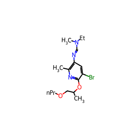 CCCOCC(C)Oc1nc(C)c(N=CN(C)CC)cc1Br